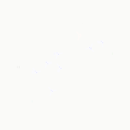 CCNc1nc(Nc2ccc(-n3cnc(Cl)c3)c(OCC)c2)nc2c1CN(CC(F)(F)F)CC2c1ccccc1